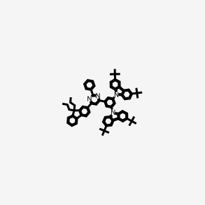 CCCC1(CCC)c2ccccc2-c2ccc(-c3cc(-c4cc(-n5c6ccc(C(C)(C)C)cc6c6cc(C(C)(C)C)ccc65)cc(-n5c6ccc(C(C)(C)C)cc6c6cc(C(C)(C)C)ccc65)c4)nc(-c4ccccc4)n3)cc21